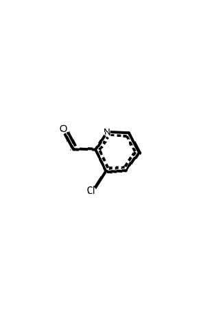 O=[C]c1ncccc1Cl